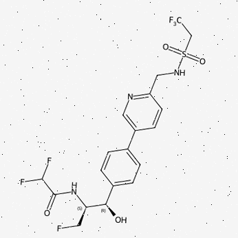 O=C(N[C@H](CF)[C@H](O)c1ccc(-c2ccc(CNS(=O)(=O)CC(F)(F)F)nc2)cc1)C(F)F